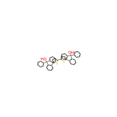 OC(c1ccccc1)(c1ccccc1)c1ccccc1-c1ccc(-c2ccc(-c3ccccc3C(O)(c3ccccc3)c3ccccc3)s2)s1